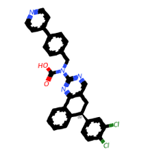 O=C(O)N(Cc1ccc(-c2ccncc2)cc1)c1ncc2c(n1)-c1ccccc1[C@H](c1ccc(Cl)c(Cl)c1)C2